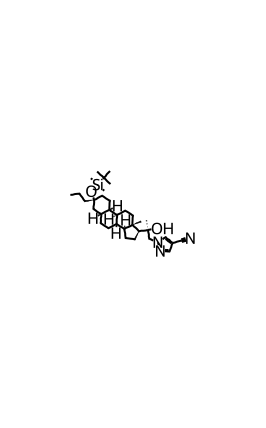 CCC[C@@]1(O[Si](C)(C)C(C)(C)C)CC[C@H]2[C@H](CC[C@@H]3[C@@H]2CC[C@@]2(C)[C@H]3CC[C@@H]2[C@@](C)(O)Cn2cc(C#N)cn2)C1